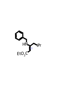 CCOC(=O)/C=C(/CC(C)C)NCc1ccccc1